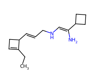 CCC1=CCC1/C=C/CN/C=C(\N)C1CCC1